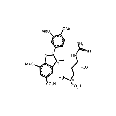 COc1ccc([C@H]2Oc3c(OC)cc(C(=O)O)cc3[C@@H]2C)cc1OC.N=C(N)NCCC[C@H](N)C(=O)O.O